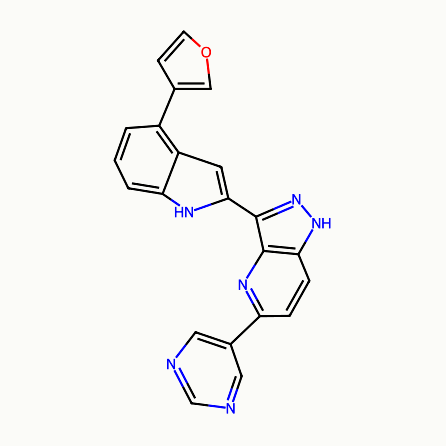 c1cc(-c2ccoc2)c2cc(-c3n[nH]c4ccc(-c5cncnc5)nc34)[nH]c2c1